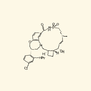 CCCc1cc(Cl)ccc1[C@@H]1COc2ccc3cc2N(C1)C[C@@H]1CC[C@H]1[C@@H](O)/C=C/[C@H](C)CCS(=O)(=O)NC3=O